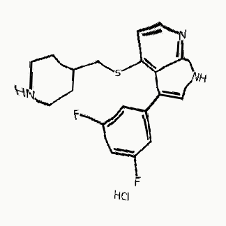 Cl.Fc1cc(F)cc(-c2c[nH]c3nccc(SCC4CCNCC4)c23)c1